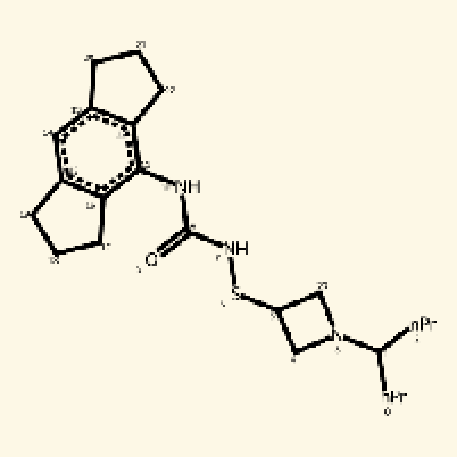 CCCC(CCC)N1CC(SNC(=O)Nc2c3c(cc4c2CCC4)CCC3)C1